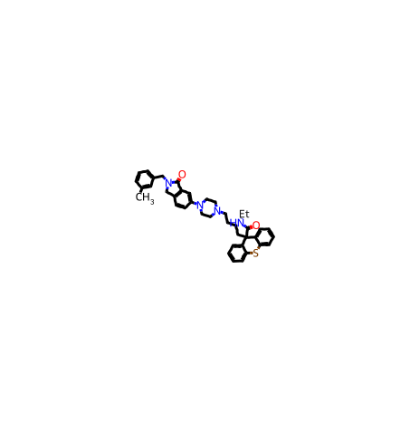 CCNC(=O)C1(CCCCN2CCN(c3ccc4c(c3)C(=O)N(Cc3cccc(C)c3)C4)CC2)c2ccccc2Sc2ccccc21